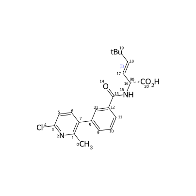 Cc1nc(Cl)ccc1-c1cccc(C(=O)N[C@H](/C=C/C(C)(C)C)C(=O)O)c1